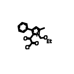 CCOCn1c(C)cc(-c2ccccc2)c1C(=O)C(=O)Cl